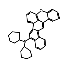 c1ccc2c(c1)Oc1cccc3c1c-2cc1c2ccccc2c(B(C2CCCCC2)C2CCCCC2)cc31